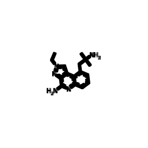 CCn1cc2c(n1)c(N)nc1cccc(CC(C)(C)N)c12